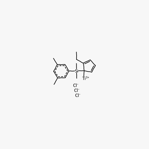 CCC1=CC=C[C]1([Ti+3])[Si](C)(C)c1cc(C)cc(C)c1.[Cl-].[Cl-].[Cl-]